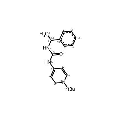 C[C@H](NC(=O)NC1=CCN(C(C)(C)C)C=C1)c1ccccc1